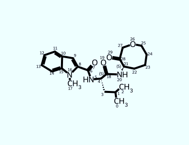 CC(C)C[C@H](NC(=O)c1cc2ccccc2n1C)C(=O)N[C@H]1CCCCOCC1=O